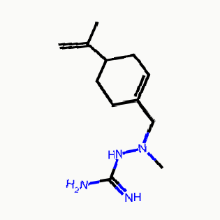 C=C(C)C1CC=C(CN(C)NC(=N)N)CC1